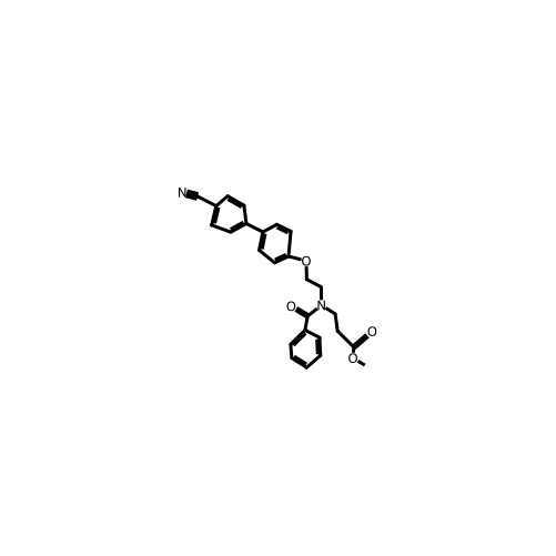 COC(=O)CCN(CCOc1ccc(-c2ccc(C#N)cc2)cc1)C(=O)c1ccccc1